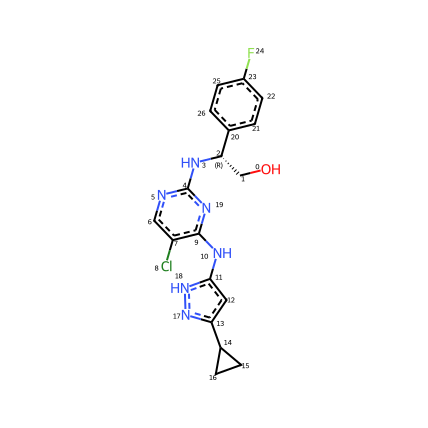 OC[C@H](Nc1ncc(Cl)c(Nc2cc(C3CC3)n[nH]2)n1)c1ccc(F)cc1